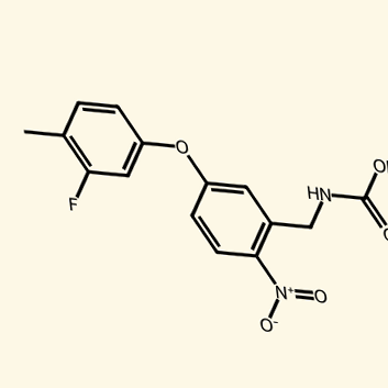 Cc1ccc(Oc2ccc([N+](=O)[O-])c(CNC(=O)O)c2)cc1F